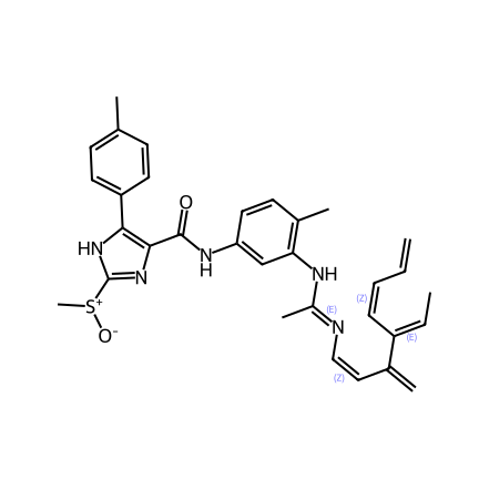 C=C/C=C\C(=C/C)C(=C)/C=C\N=C(/C)Nc1cc(NC(=O)c2nc([S+](C)[O-])[nH]c2-c2ccc(C)cc2)ccc1C